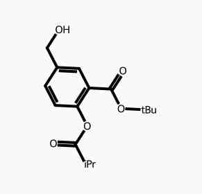 CC(C)C(=O)Oc1ccc(CO)cc1C(=O)OC(C)(C)C